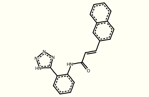 O=C(C=Cc1ccc2ccccc2c1)Nc1ccccc1-c1nnn[nH]1